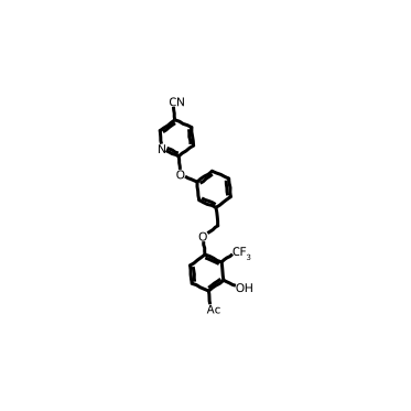 CC(=O)c1ccc(OCc2cccc(Oc3ccc(C#N)cn3)c2)c(C(F)(F)F)c1O